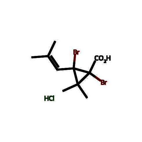 CC(C)=CC1(Br)C(C)(C)C1(Br)C(=O)O.Cl